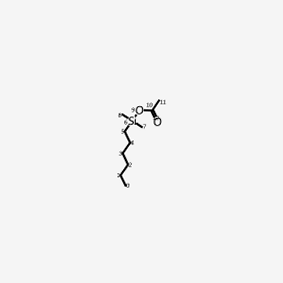 CCCCCC[Si](C)(C)OC(C)=O